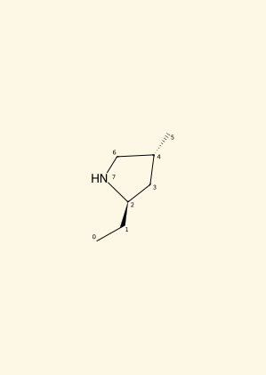 CC[C@@H]1C[C@@H](C)CN1